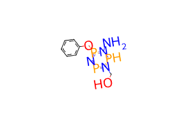 Nn1[pH]n(CO)pnp1Oc1ccccc1